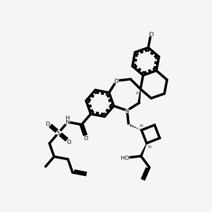 C=CCC(C)CS(=O)(=O)NC(=O)c1ccc2c(c1)N(C[C@@H]1CC[C@H]1C(O)C=C)C[C@@]1(CCCc3cc(Cl)ccc31)CO2